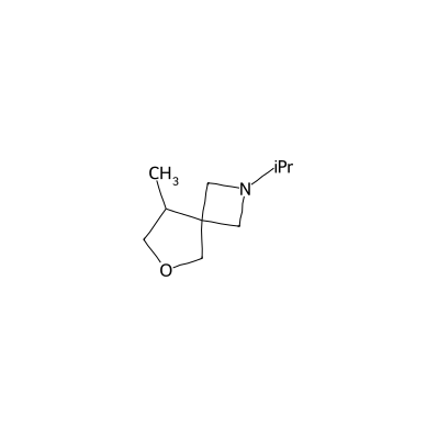 CC(C)N1CC2(COCC2C)C1